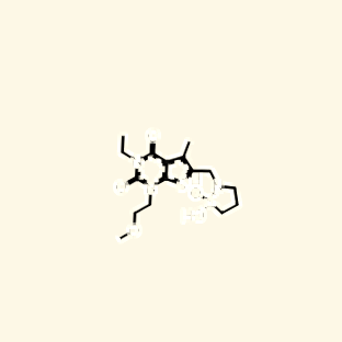 CCn1c(=O)c2c(C)c(CN3CCCS3(O)O)sc2n(CCOC)c1=O